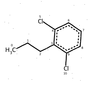 CCCc1c(Cl)cccc1Cl